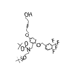 CC(C)(C)OC(=O)N(CCO[Si](C)(C)C(C)(C)C)Cc1cc(OCCC#CCCO)ccc1OCc1ccc(F)c(C(F)(F)F)c1